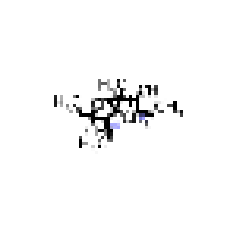 C/C=C\N(C)C1(C)CC1(C)/C(=C/C)C(C)(C)CC